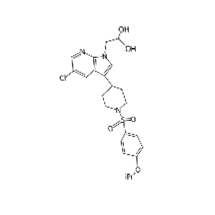 CC(C)Oc1ccc(S(=O)(=O)N2CCC(c3cn(CC(O)O)c4ncc(Cl)cc34)CC2)cc1